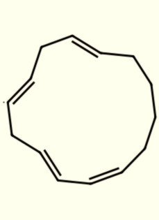 [C]1=C/C/C=C/CCCC/C=C\C=C\C/1